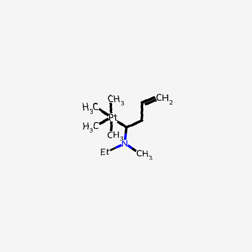 C=CC[CH](N(C)CC)[Pt]([CH3])([CH3])([CH3])[CH3]